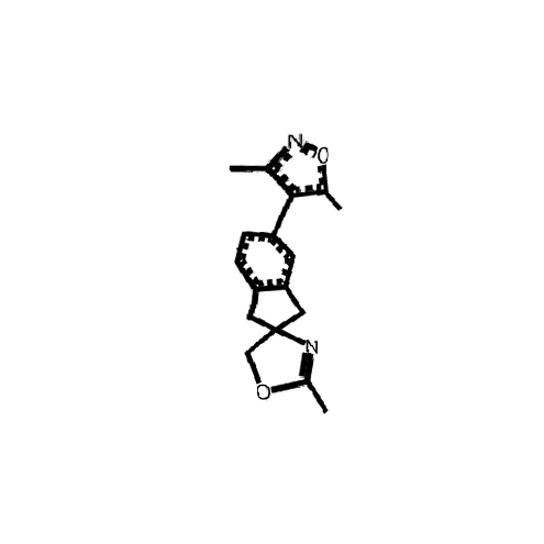 CC1=NC2(CO1)Cc1ccc(-c3c(C)noc3C)cc1C2